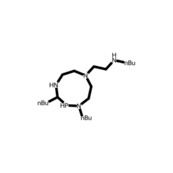 CCCCNCCN1CCNC(CCCC)PN(CCCC)CC1